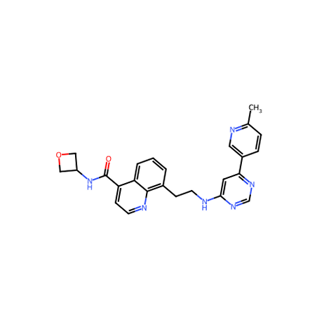 Cc1ccc(-c2cc(NCCc3cccc4c(C(=O)NC5COC5)ccnc34)ncn2)cn1